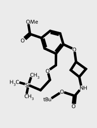 COC(=O)c1ccc(OC2CC(NC(=O)OC(C)(C)C)C2)c(COCC[Si](C)(C)C)c1